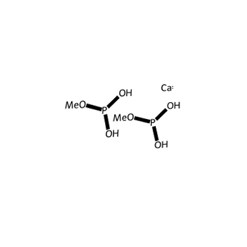 COP(O)O.COP(O)O.[Ca]